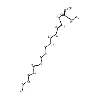 [CH2]CCCCCCCCCCCCCCCC(C)[CH]C